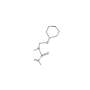 C=C(C)C(=O)N(C)COC1CCCCC1